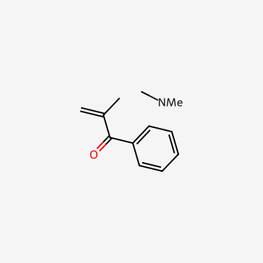 C=C(C)C(=O)c1ccccc1.CNC